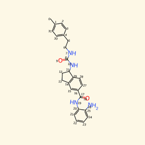 Cc1ccc(CCNC(=O)NC2CCc3cc(C(=O)Nc4ccccc4N)ccc32)cc1